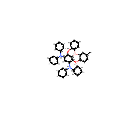 Cc1ccc2c(c1)B1c3ccccc3Oc3c(N(c4ccccc4)c4ccccc4)cc(N(c4ccccc4)c4ccccc4)c(c31)O2